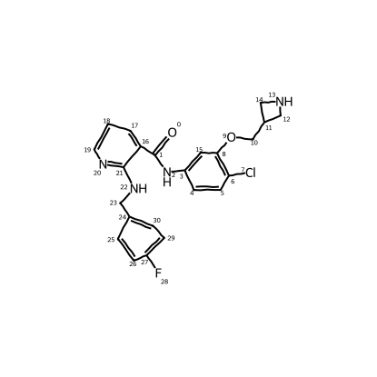 O=C(Nc1ccc(Cl)c(OCC2CNC2)c1)c1cccnc1NCc1ccc(F)cc1